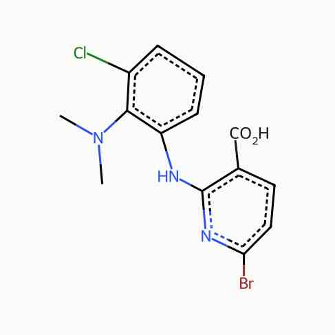 CN(C)c1c(Cl)cccc1Nc1nc(Br)ccc1C(=O)O